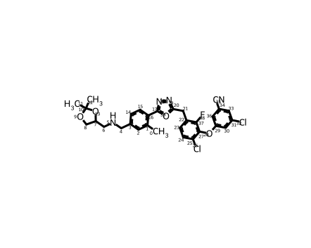 Cc1cc(CNCC2COC(C)(C)O2)ccc1-c1nnc(Cc2ccc(Cl)c(Oc3cc(Cl)cc(C#N)c3)c2F)o1